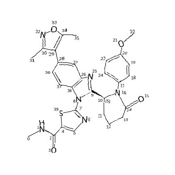 CNC(=O)c1cnc(-n2c([C@@H]3CCCC(=O)N3c3ccc(OC)cc3)nc3cc(-c4c(C)noc4C)ccc32)s1